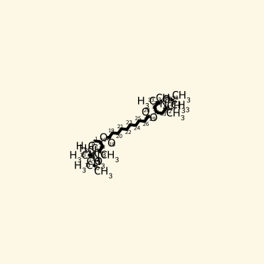 CCC(CC(C)(C)N(OC(C)C)C(C)(C)C)OC(=O)CCCCCCCCC(=O)OC1CC(C)(C)N(OC(C)C)C(C)(C)C1